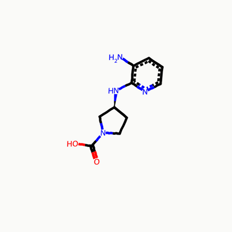 Nc1cccnc1N[C@H]1CCN(C(=O)O)C1